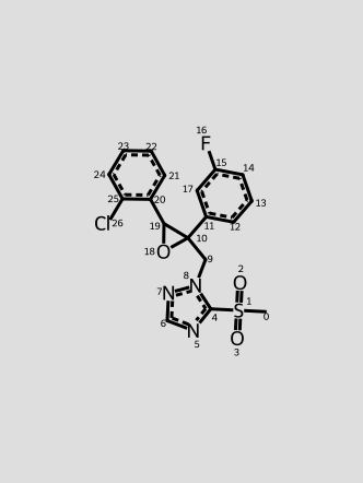 CS(=O)(=O)c1ncnn1CC1(c2cccc(F)c2)OC1c1ccccc1Cl